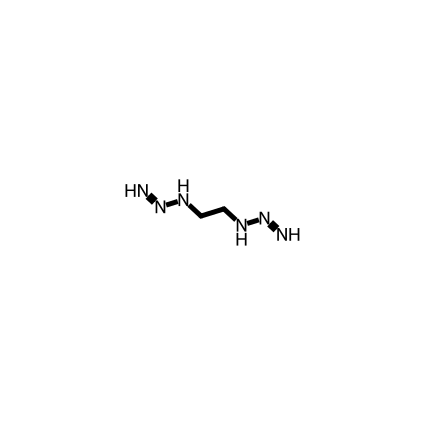 N=NNCCNN=N